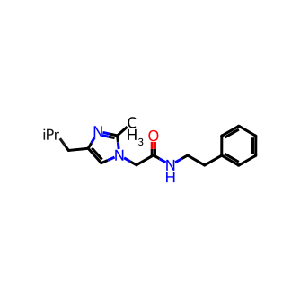 Cc1nc(CC(C)C)cn1CC(=O)NCCc1ccccc1